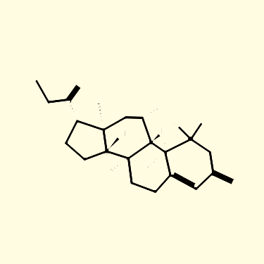 C[C@]12C[C@H](O)[C@H]3[C@@H](CCC4=CC(=O)CC(F)(F)[C@@]43C)[C@@H]1CC[C@@H]2C(=O)CO